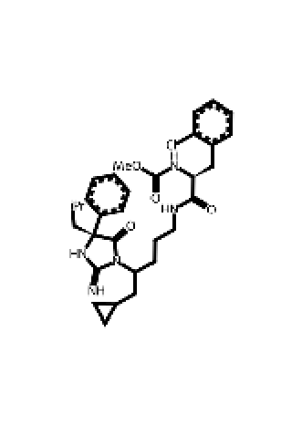 COC(=O)N[C@@H](Cc1ccccc1Cl)C(=O)NCCCC(CC1CC1)N1C(=N)N[C@](CC(C)C)(c2ccccc2)C1=O